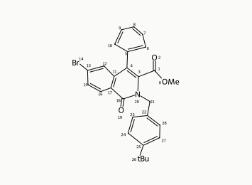 COC(=O)c1c(-c2ccccc2)c2cc(Br)ccc2c(=O)n1Cc1ccc(C(C)(C)C)cc1